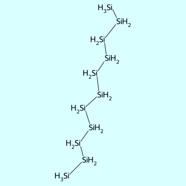 [SiH3][SiH2][SiH2][SiH2][SiH2][SiH2][SiH2][SiH2][SiH2][SiH2][SiH3]